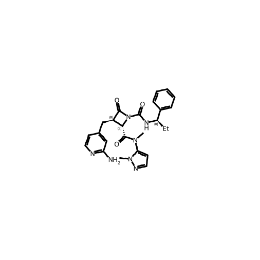 CC[C@@H](NC(=O)N1C(=O)[C@H](Cc2ccnc(N)c2)[C@H]1C(=O)N(C)c1ccnn1C)c1ccccc1